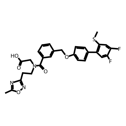 CSc1cc(F)c(F)cc1-c1ccc(OCc2cccc(C(=O)N(CCc3noc(C)n3)CC(=O)O)c2)cc1